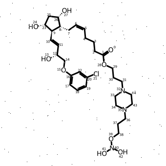 O=C(CCC/C=C\C[C@@H]1[C@@H](/C=C/[C@@H](O)COc2cccc(Cl)c2)[C@H](O)C[C@@H]1O)OCCCN1CCN(CCCON(O)O)CC1